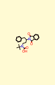 CC(C)(C)N(CCC(Cc1ccccc1)N1C(=O)c2ccccc2C1=O)C(=O)O